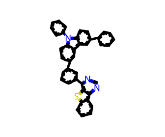 c1ccc(-c2ccc3c(c2)c2cc(-c4cccc(-c5ncnc6c5sc5ccccc56)c4)ccc2n3-c2ccccc2)cc1